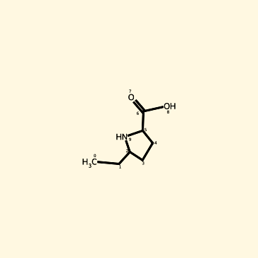 CCC1CCC(C(=O)O)N1